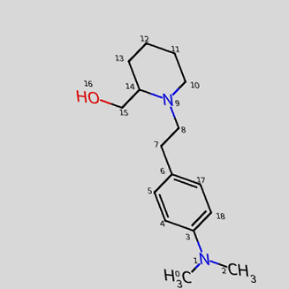 CN(C)c1ccc(CCN2CCCCC2CO)cc1